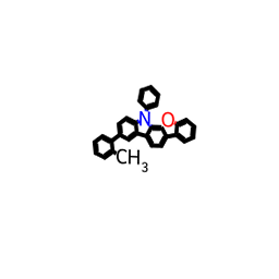 Cc1ccccc1-c1ccc2c(c1)c1ccc3c4ccccc4oc3c1n2-c1ccccc1